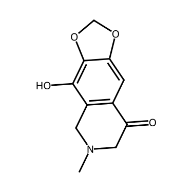 CN1CC(=O)c2cc3c(c(O)c2C1)OCO3